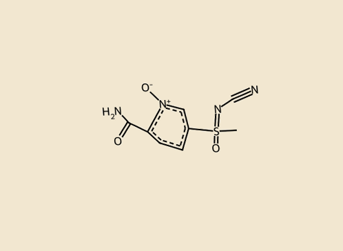 CS(=O)(=NC#N)c1ccc(C(N)=O)[n+]([O-])c1